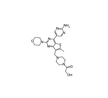 Cc1sc2c(-c3cnc(N)nc3)nc(N3CCOCC3)nc2c1CN1CCN(C(=O)CO)CC1